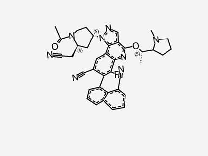 CC(=O)N1CC[C@H](n2ncc3c(O[C@@H](C)C4CCCN4C)nc4c(F)c(-c5cccc6cccc(C#N)c56)c(C#N)cc4c32)C[C@H]1CC#N